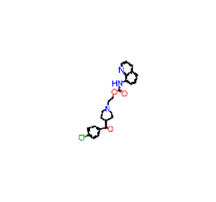 O=C(Nc1cccc2cccnc12)OCCN1CCC(C(=O)c2ccc(Cl)cc2)CC1